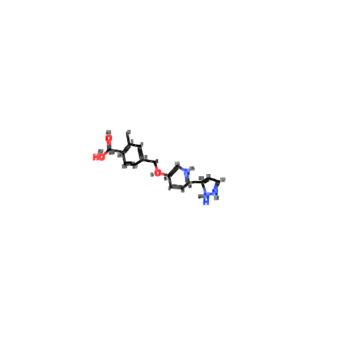 Cc1cc(COc2ccc(-c3ccn[nH]3)nc2)ccc1C(=O)O